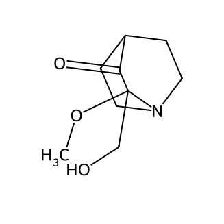 COC1(CO)C(=O)C2CCN1CC2